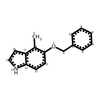 Cc1c(OCc2ccccc2)ccc2[nH]ccc12